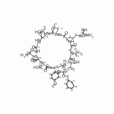 CC[C@H](C)[C@@H]1NC(=O)[C@@H](CCCNC(=N)N)NC(=O)[C@H](CC(C)C)NC(=O)[C@H]([C@H](O)C(C)C)NC(=O)[C@H](NC(=O)OCc2ccccc2)[C@H](c2ccc(OC)cc2)NC(=O)[C@H](CO)NC(=O)[C@H]([C@H](O)C(N)=O)NC(=O)CNC(=O)[C@H]([C@H](C)O)NC1=O